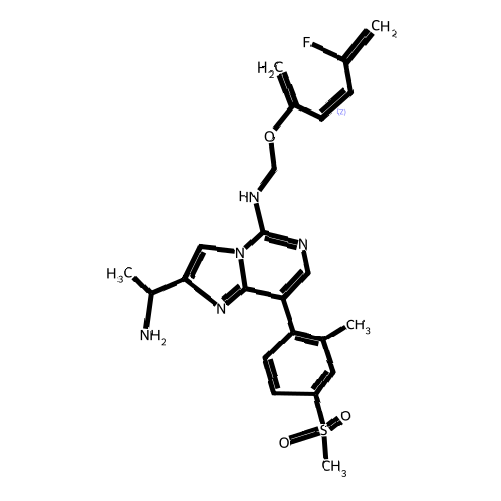 C=C(F)/C=C\C(=C)OCNc1ncc(-c2ccc(S(C)(=O)=O)cc2C)c2nc(C(C)N)cn12